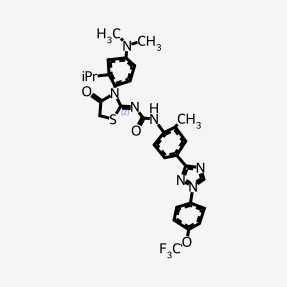 Cc1cc(-c2ncn(-c3ccc(OC(F)(F)F)cc3)n2)ccc1NC(=O)/N=C1\SCC(=O)N1c1ccc(N(C)C)cc1C(C)C